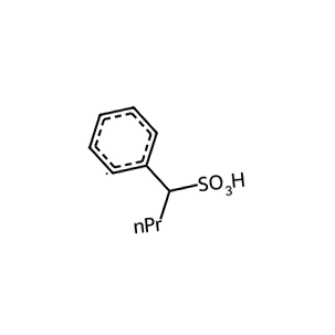 CCCC(c1[c]cccc1)S(=O)(=O)O